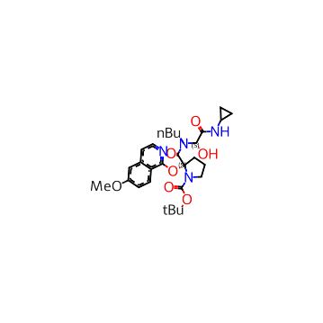 CCCCN(C(=O)[C@@]1(Oc2nccc3cc(OC)ccc23)CCCN1C(=O)OC(C)(C)C)[C@@H](O)C(=O)NC1CC1